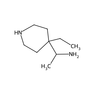 CCC1(C(C)N)CCNCC1